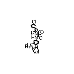 Cc1cc(NC(=O)C2(NC(=O)Oc3ccc(Cl)s3)CCOC2)ccc1N1CCOCCN1C